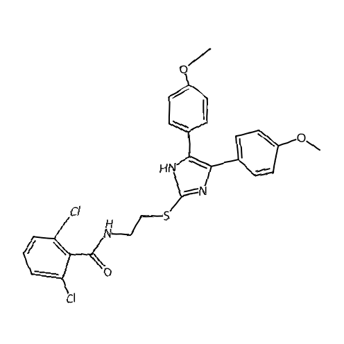 COc1ccc(-c2nc(SCCNC(=O)c3c(Cl)cccc3Cl)[nH]c2-c2ccc(OC)cc2)cc1